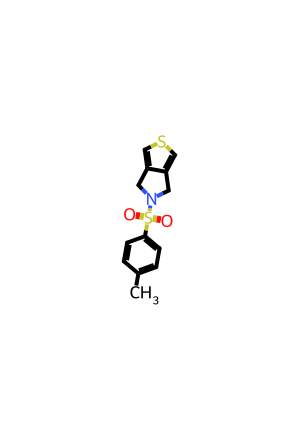 Cc1ccc(S(=O)(=O)N2Cc3cscc3C2)cc1